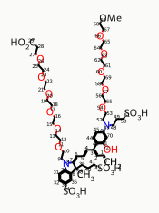 C=C/C=C(/C=C/C=C1/N(CCOCCOCCOCCOCCOCCOCCC(=O)O)c2ccc(S(=O)(=O)O)cc2C1(C)CCCS(=O)(=O)O)c1ccc(N(CCCS(=O)(=O)O)CCOCCOCCOCCOCCOCCOC)cc1O